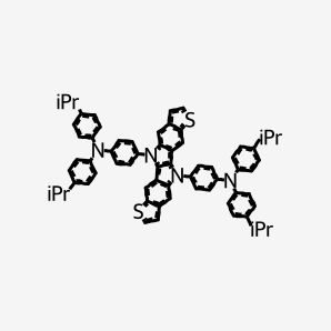 CC(C)c1ccc(N(c2ccc(C(C)C)cc2)c2ccc(-n3c4cc5ccsc5cc4c4c3c3cc5sccc5cc3n4-c3ccc(N(c4ccc(C(C)C)cc4)c4ccc(C(C)C)cc4)cc3)cc2)cc1